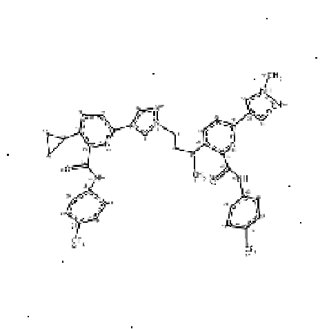 CC(CCn1cc(-c2ccc(C3CC3)c(C(=O)Nc3ccc(C(F)(F)F)cc3)n2)cn1)c1ccc(-c2cnn(C)c2)nc1C(=O)Nc1ccc(C(F)(F)F)cc1